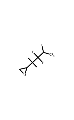 FC(C(F)(F)F)C(F)(F)C(F)(F)C1CO1